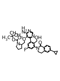 CC(C)(C)OC(=O)N1CCCC1COc1c(N)ncnc1-c1cc(F)cc(N2CCc3cc(C4CC4)ccc3C2=O)c1CO